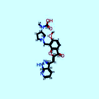 COc1ccc2c(c1CN1CC[C@H](N(C)C(=O)O)C1)O/C(=C\c1n[nH]c3ncccc13)C2=O